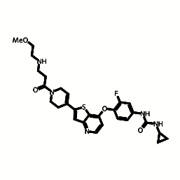 COCCNCCC(=O)N1CC=C(c2cc3nccc(Oc4ccc(NC(=O)NC5CC5)cc4F)c3s2)CC1